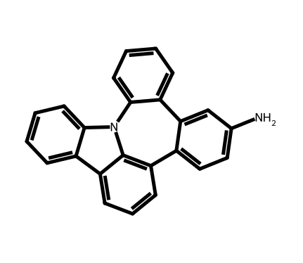 Nc1ccc2c(c1)-c1ccccc1-n1c3ccccc3c3cccc-2c31